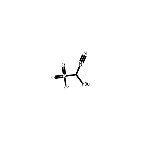 CCCCC([N+]#N)S(=O)(=O)[O-]